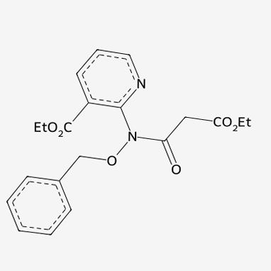 CCOC(=O)CC(=O)N(OCc1ccccc1)c1ncccc1C(=O)OCC